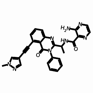 CC(NC(=O)c1nccnc1N)c1nc2cccc(C#Cc3cnn(C)c3)c2c(=O)n1-c1ccccc1